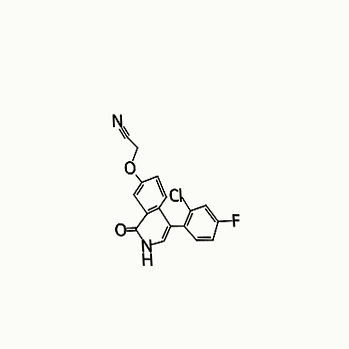 N#CCOc1ccc2c(-c3ccc(F)cc3Cl)c[nH]c(=O)c2c1